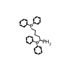 PC(CCCCP(c1ccccc1)c1ccccc1)P(c1ccccc1)c1ccccc1